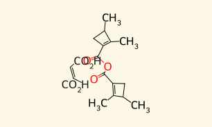 CC1=C(C(=O)OC(=O)C2=C(C)C(C)C2)CC1C.O=C(O)/C=C\C(=O)O